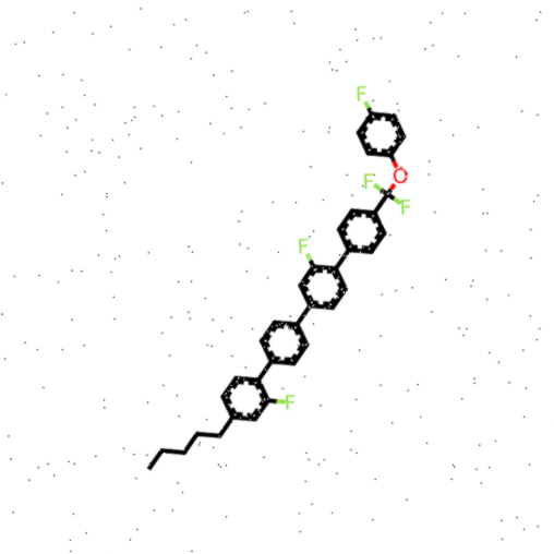 CCCCCc1ccc(-c2ccc(-c3ccc(-c4ccc(C(F)(F)Oc5ccc(F)cc5)cc4)c(F)c3)cc2)c(F)c1